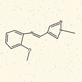 COc1ccccc1N=Cc1cnn(C)c1